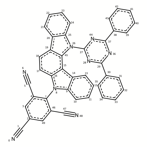 N#Cc1cc(C#N)c(-n2c3ccccc3c3c2ccc2c4ccccc4n(-c4nc(-c5ccccc5)nc(-c5ccccc5)n4)c23)c(C#N)c1